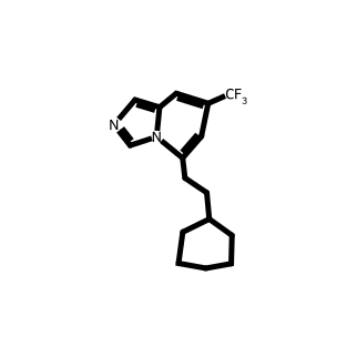 FC(F)(F)c1cc(CCC2CCCCC2)n2cncc2c1